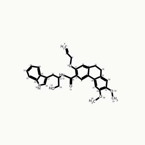 C=CCOc1cc2c(cc1C(=O)NC(CO)Cc1c[nH]c3ccccc13)-c1cc(OC)c(OC)cc1CC2